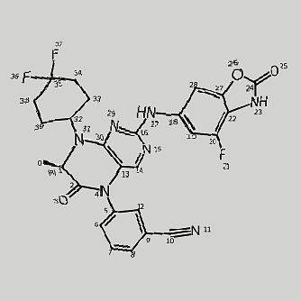 C[C@@H]1C(=O)N(c2cccc(C#N)c2)c2cnc(Nc3cc(F)c4[nH]c(=O)oc4c3)nc2N1C1CCC(F)(F)CC1